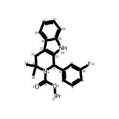 CC(C)OC(=O)N1C(c2cccc(F)c2)c2[nH]c3ccccc3c2CC1(C)C